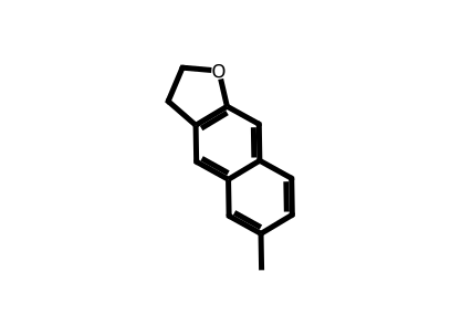 Cc1ccc2cc3c(cc2c1)CCO3